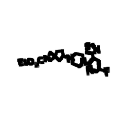 CCOC(=O)N1CC2(CCC(N3CCN(c4ncc(F)cc4-c4cscn4)CC3)C2)C1